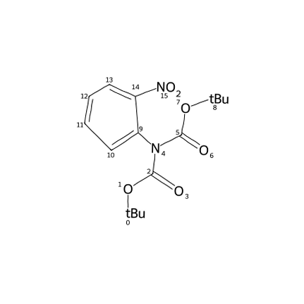 CC(C)(C)OC(=O)N(C(=O)OC(C)(C)C)c1ccccc1[N+](=O)[O-]